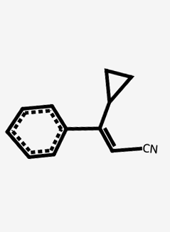 N#CC=C(c1ccccc1)C1CC1